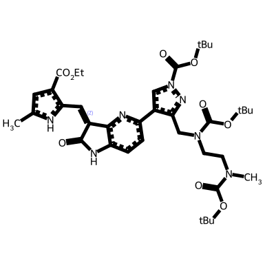 CCOC(=O)c1cc(C)[nH]c1/C=C1\C(=O)Nc2ccc(-c3cn(C(=O)OC(C)(C)C)nc3CN(CCN(C)C(=O)OC(C)(C)C)C(=O)OC(C)(C)C)nc21